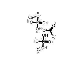 O=C([O-])[O-].O=P(O)(O)O.O=P([O-])([O-])O.[Ca+2].[Ca+2]